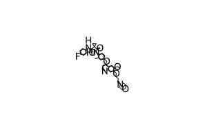 COc1cc2c(Oc3ccc(NC(=O)C4(C(=O)Nc5ccc(F)cc5)CC4)c(C)c3)ccnc2cc1OCCCN1CCOCC1